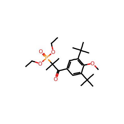 CCOP(=O)(OCC)C(C)(C)C(=O)c1cc(C(C)(C)C)c(OC)c(C(C)(C)C)c1